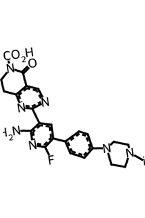 CC(C)N1CCN(c2ccc(-c3cc(-c4ncc5c(n4)CCN(C(=O)O)C5=O)c(N)nc3F)cc2)CC1